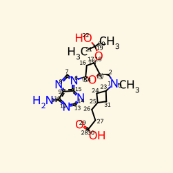 CN(C[C@H]1O[C@@H](n2cnc3c(N)ncnc32)C[C@@H]1OC(C)(C)O)C1CC(CCC(=O)O)C1